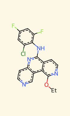 CCOc1nccc2c(Nc3c(F)cc(F)cc3Cl)nc3ccncc3c12